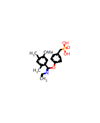 C=C/N=C(/Oc1ccc(CP(=O)(O)O)cc1)c1cc(OC)c(C)cc1C